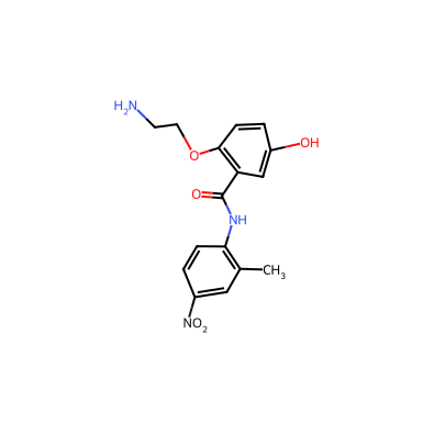 Cc1cc([N+](=O)[O-])ccc1NC(=O)c1cc(O)ccc1OCCN